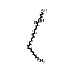 CCCCCCCC/C=C\CCCCCCCCCCCC(=O)NCCCCO